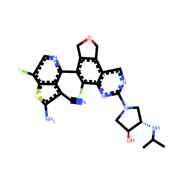 CC(C)N[C@H]1CN(c2ncc3c4c(c(-c5ncc(F)c6sc(N)c(C#N)c56)c(F)c3n2)COC4)C[C@@H]1O